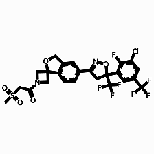 CS(=O)(=O)CC(=O)N1CC2(C1)OCc1cc(C3=NOC(c4cc(C(F)(F)F)cc(Cl)c4F)(C(F)(F)F)C3)ccc12